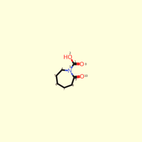 O=C(O)N1CCCCCC1=O